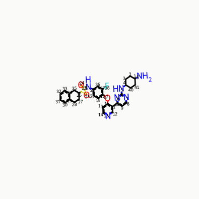 NC1CCC(Nc2nccc(-c3cnccc3Oc3ccc(NS(=O)(=O)C4CCc5ccccc5C4)cc3F)n2)CC1